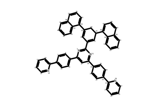 C1=C(c2nc(-c3ccc(-c4ccccn4)cc3)cc(-c3ccc(-c4ccccn4)cc3)n2)C=C(c2cccc3ccccc23)CC1c1cccc2ccccc12